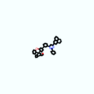 C1=Cc2cc(-c3cc(-c4cccc(-c5ccc6c(c5)Oc5ccccc5C65c6ccccc6-c6ccccc65)c4)nc(-c4ccccc4)n3)cc3cccc(c23)C1